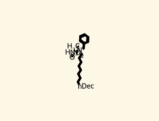 CCCCCCCCCCCCCCCCCC[N+](C)(N)Cc1ccccc1.O=[N+]([O-])[O-]